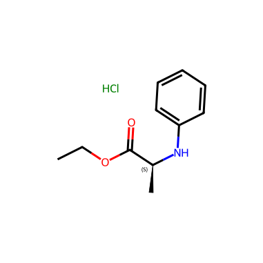 CCOC(=O)[C@H](C)Nc1ccccc1.Cl